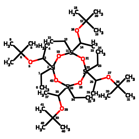 CC[Si]1(C(C)OC(C)(C)C)O[Si](CC)(C(C)OC(C)(C)C)O[Si](CC)(C(C)OC(C)(C)C)O[Si](CC)(C(C)OC(C)(C)C)O1